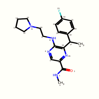 CNC(=O)c1cnc(NCCN2CCCC2)c(C(C)c2ccc(F)cc2)n1